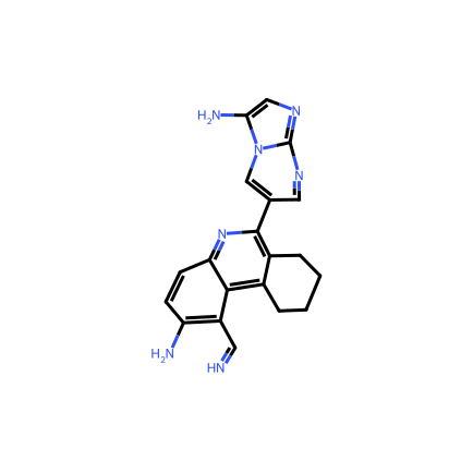 N=Cc1c(N)ccc2nc(-c3cnc4ncc(N)n4c3)c3c(c12)CCCC3